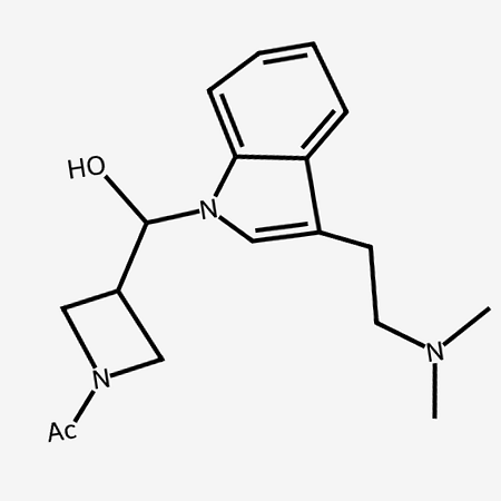 CC(=O)N1CC(C(O)n2cc(CCN(C)C)c3ccccc32)C1